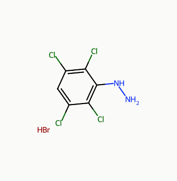 Br.NNc1c(Cl)c(Cl)cc(Cl)c1Cl